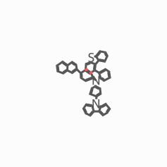 c1ccc(N(c2ccc(-c3ccc4ccccc4c3)cc2)c2ccc(-n3c4ccccc4c4ccccc43)cc2)c(-c2cccc3sc4ccccc4c23)c1